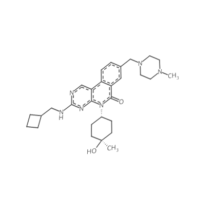 CN1CCN(Cc2ccc3c(c2)c(=O)n([C@H]2CC[C@](C)(O)CC2)c2nc(NCC4CCC4)ncc32)CC1